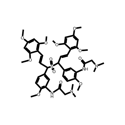 COc1cc(OC)c(C=CC(c2ccc(OC)c(NC(=O)CN(C)C)c2)S(=O)(=O)C(C=Cc2c(OC)cc(OC)cc2OC)c2ccc(OC)c(NC(=O)CN(C)C)c2)c(OC)c1